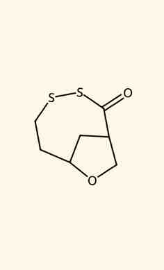 O=C1SSCCC2CC1CO2